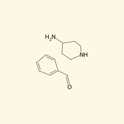 NC1CCNCC1.O=Cc1ccccc1